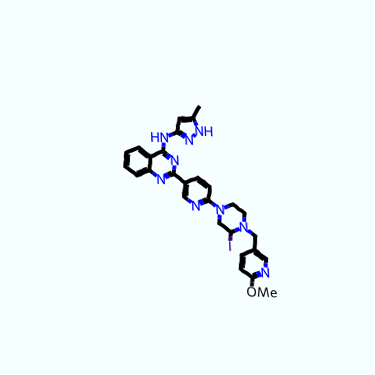 COc1ccc(CN2CCN(c3ccc(-c4nc(Nc5cc(C)[nH]n5)c5ccccc5n4)cn3)CC2I)cn1